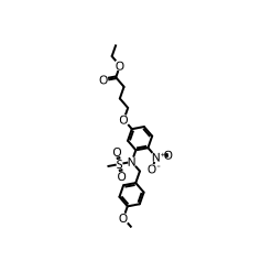 CCOC(=O)CCCOc1ccc([N+](=O)[O-])c(N(Cc2ccc(OC)cc2)S(C)(=O)=O)c1